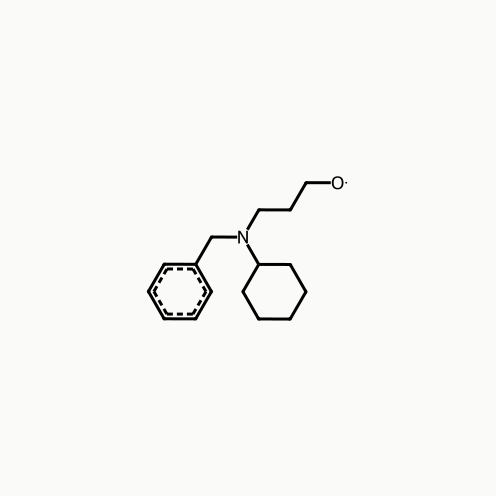 [O]CCCN(Cc1ccccc1)C1CCCCC1